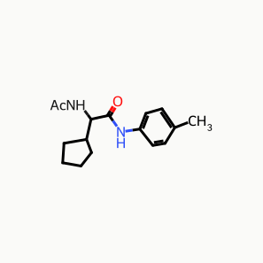 CC(=O)NC(C(=O)Nc1ccc(C)cc1)C1CCCC1